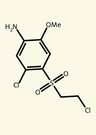 COc1cc(S(=O)(=O)CCCl)c(Cl)cc1N